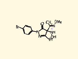 CO/N=C(\C)C1(NO)C(=O)N(c2ccc(Br)cc2)N=C1C(C)C